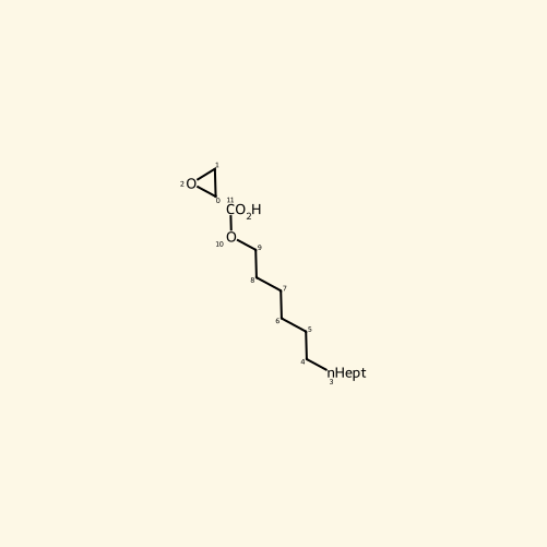 C1CO1.CCCCCCCCCCCCCOC(=O)O